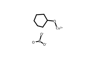 [Cu+3][O]C1CCCCC1.[O-]B([O-])[O-]